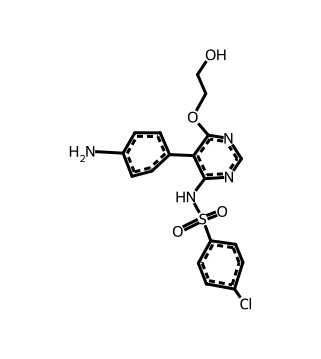 Nc1ccc(-c2c(NS(=O)(=O)c3ccc(Cl)cc3)ncnc2OCCO)cc1